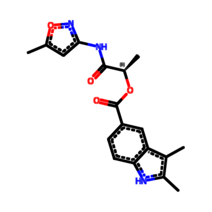 Cc1cc(NC(=O)[C@@H](C)OC(=O)c2ccc3[nH]c(C)c(C)c3c2)no1